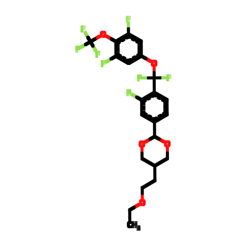 CCOCCC1COC(c2ccc(C(F)(F)Oc3cc(F)c(OC(F)(F)F)c(F)c3)c(F)c2)OC1